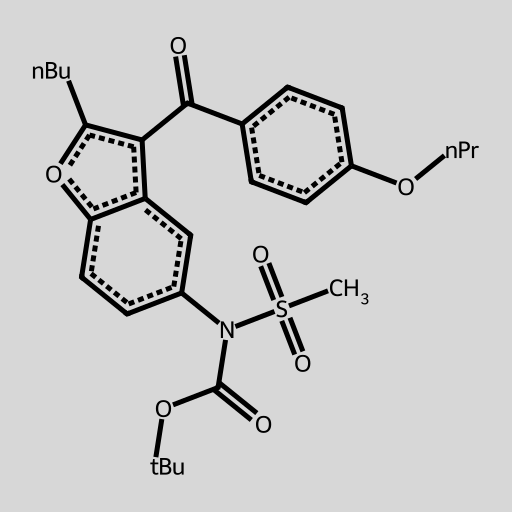 CCCCc1oc2ccc(N(C(=O)OC(C)(C)C)S(C)(=O)=O)cc2c1C(=O)c1ccc(OCCC)cc1